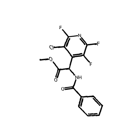 COC(=O)C(NC(=O)c1ccccc1)c1c(F)c(F)nc(F)c1Cl